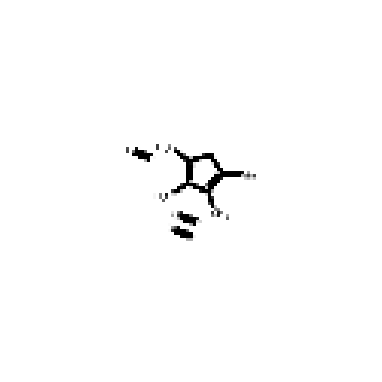 CC1=C(C)C(C)=[C]([Mn])C1.[C]=O.[C]=O.[C]=O